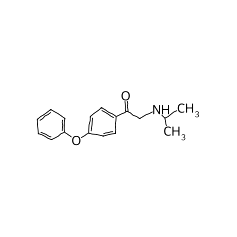 CC(C)NCC(=O)c1ccc(Oc2ccccc2)cc1